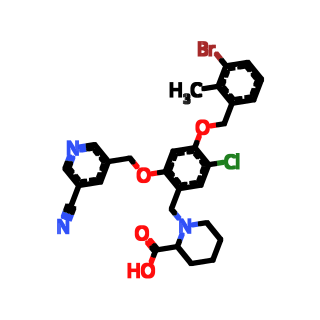 Cc1c(Br)cccc1COc1cc(OCc2cncc(C#N)c2)c(CN2CCCCC2C(=O)O)cc1Cl